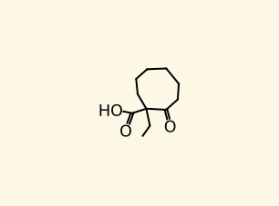 CCC1(C(=O)O)CCCCCCC1=O